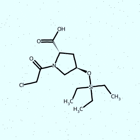 CC[Si](CC)(CC)O[C@@H]1C[C@@H](C(=O)O)N(C(=O)CCl)C1